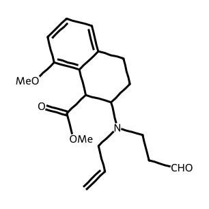 C=CCN(CCC=O)C1CCc2cccc(OC)c2C1C(=O)OC